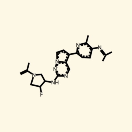 C=C(C)N1CC(F)C(Nc2ncc3c(-c4ccc(N=C(C)C)c(C)n4)ccn3n2)C1